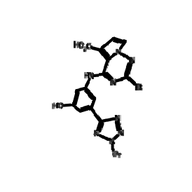 CCc1nc(Nc2cc(O)cc(-c3nnn(C(C)C)n3)c2)c2c(C(=O)O)ccn2n1